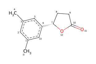 Cc1cc(C)cc([C@@H]2CCC(=O)O2)c1